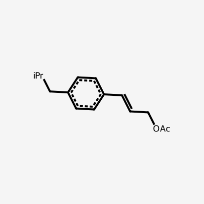 CC(=O)OC/C=C/c1ccc(CC(C)C)cc1